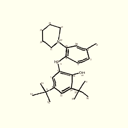 Cc1ccc(Pc2cc(C(C)(C)C)cc(C(C)(C)C)c2O)c(N2CCCCC2)c1